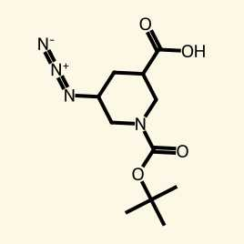 CC(C)(C)OC(=O)N1CC(N=[N+]=[N-])CC(C(=O)O)C1